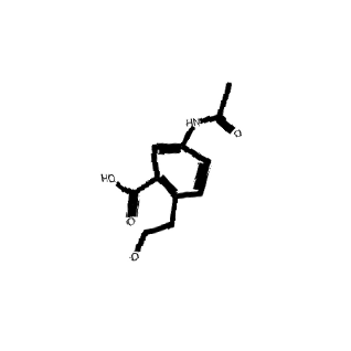 CC(=O)Nc1ccc(CC[O])c(C(=O)O)c1